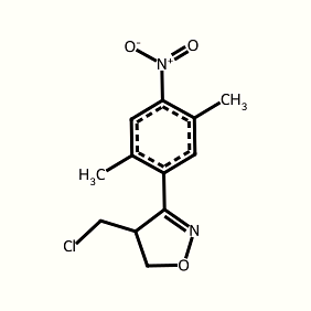 Cc1cc([N+](=O)[O-])c(C)cc1C1=NOCC1CCl